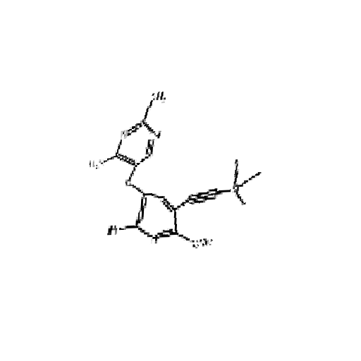 COc1nc(C(C)C)c(Oc2cnc(N)nc2N)cc1C#C[Si](C)(C)C